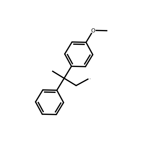 [CH2]CC(C)(c1ccccc1)c1ccc(OC)cc1